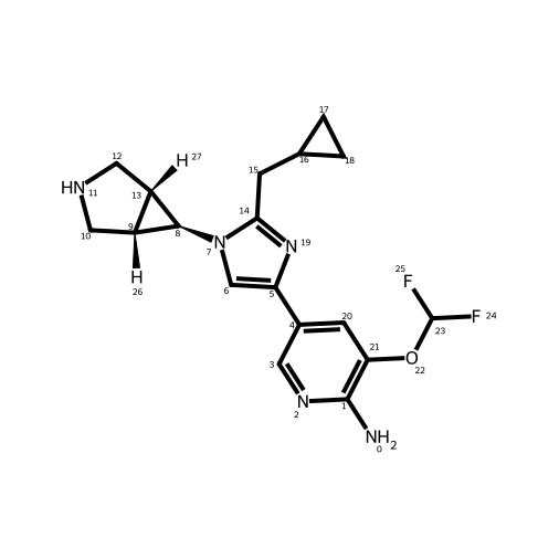 Nc1ncc(-c2cn([C@H]3[C@@H]4CNC[C@@H]43)c(CC3CC3)n2)cc1OC(F)F